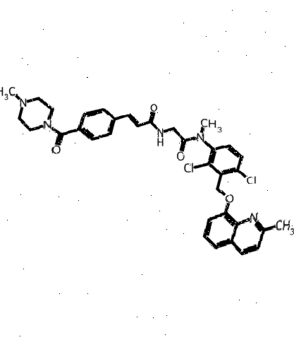 Cc1ccc2cccc(OCc3c(Cl)ccc(N(C)C(=O)CNC(=O)/C=C/c4ccc(C(=O)N5CCN(C)CC5)cc4)c3Cl)c2n1